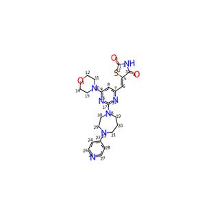 O=C1NC(=O)/C(=C/c2cc(N3CCOCC3)nc(N3CCCN(c4ccncc4)CC3)n2)S1